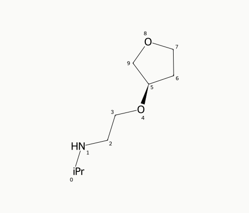 CC(C)NCCO[C@@H]1CCOC1